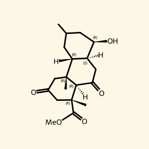 COC(=O)[C@]1(C)CC(=O)C[C@]2(C)[C@@H]3CC(C)C[C@@H](O)[C@H]3CC(=O)[C@H]21